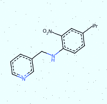 CC(C)c1ccc(NCc2cccnc2)c([N+](=O)[O-])c1